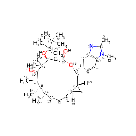 Cc1nc2cc([C@@H]3C[C@@H]4C[C@H]4CCC[C@H](C)[C@H](C)[C@@H](C)C(=O)C(C)(C)[C@@H](O[Si](C)(C)C(C)(C)C)CC(=O)O3)ccc2n1C